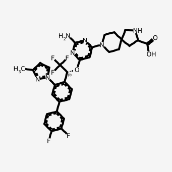 Cc1ccn(-c2cc(-c3ccc(F)c(F)c3)ccc2[C@@H](Oc2cc(N3CCC4(CC3)CNC(C(=O)O)C4)nc(N)n2)C(F)(F)F)n1